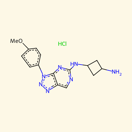 COc1ccc(-n2nnc3cnc(NC4CC(N)C4)nc32)cc1.Cl